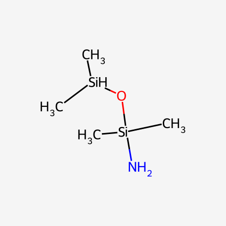 C[SiH](C)O[Si](C)(C)N